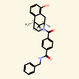 CC1(C)[C@H]2Cc3c(O)cccc3[C@]1(C)CCN2C(=O)c1ccc(C(=O)NCc2ccccc2)cc1